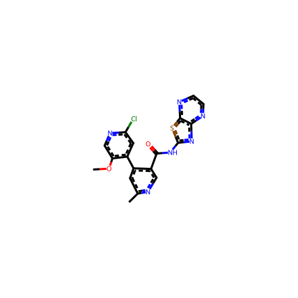 COc1cnc(Cl)cc1-c1cc(C)ncc1C(=O)Nc1nc2nccnc2s1